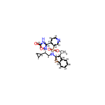 Cc1c(N(CCC2CC2)S(=O)(=O)c2cnccc2-c2noc(=O)[nH]2)sc2ccccc12